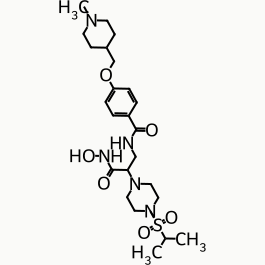 CC(C)S(=O)(=O)N1CCN(C(CNC(=O)c2ccc(OCC3CCN(C)CC3)cc2)C(=O)NO)CC1